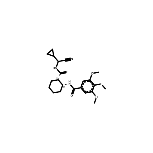 COc1cc(C(=O)N[C@@H]2CCCC[C@@H]2C(=O)NC(C#N)C2CC2)cc(OC)c1OC